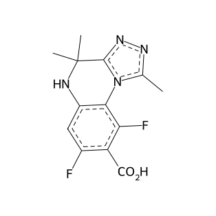 Cc1nnc2n1-c1c(cc(F)c(C(=O)O)c1F)NC2(C)C